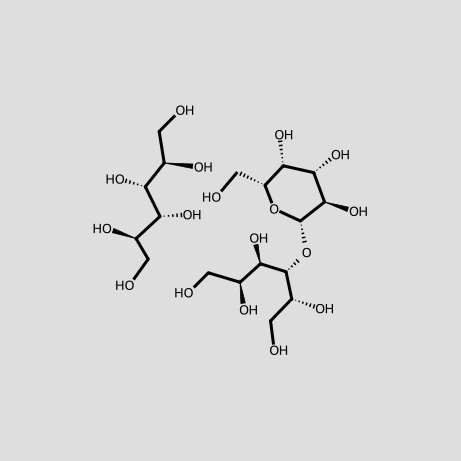 OC[C@@H](O)[C@@H](O)[C@H](O)[C@H](O)CO.OC[C@@H](O)[C@@H](O[C@@H]1O[C@H](CO)[C@H](O)[C@H](O)[C@H]1O)[C@H](O)[C@@H](O)CO